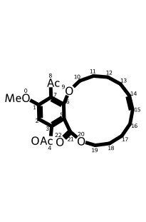 COc1cc(OC(C)=O)c2c(c1C(C)=O)OCCCCC=CCCCCOC2=O